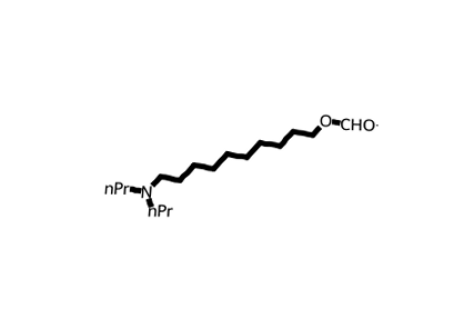 CCCN(CCC)CCCCCCCCCCO[C]=O